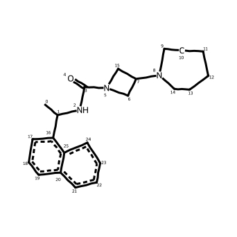 CC(NC(=O)N1CC(N2CCCCCC2)C1)c1cccc2ccccc12